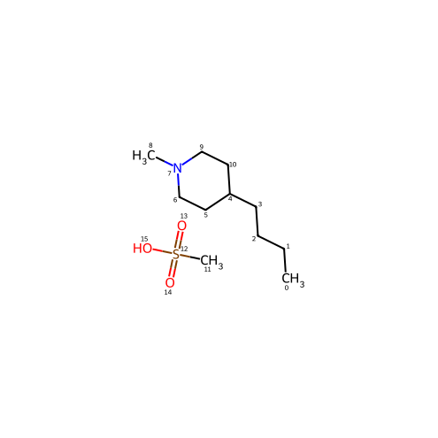 CCCCC1CCN(C)CC1.CS(=O)(=O)O